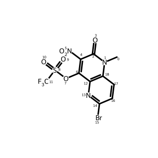 Cn1c(=O)c([N+](=O)[O-])c(OS(=O)(=O)C(F)(F)F)c2nc(Br)ccc21